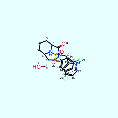 O=C1C2CCCC([C@@H](CO)CN1Cc1ccccn1)N2S(=O)(=O)c1cc(Cl)cc(Cl)c1